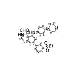 CCS(=O)(=O)c1cncc(-c2cc3c(c(Nc4ccc(N5CCOCC5)cc4)n2)C(C=O)NC=C3)c1